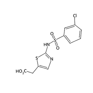 O=C(O)Cc1cnc(NS(=O)(=O)c2cccc(Cl)c2)s1